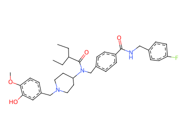 CCC(CC)C(=O)N(Cc1ccc(C(=O)NCc2ccc(F)cc2)cc1)C1CCN(Cc2ccc(OC)c(O)c2)CC1